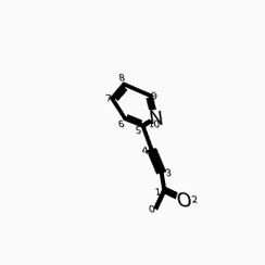 CC(=O)C#Cc1ccccn1